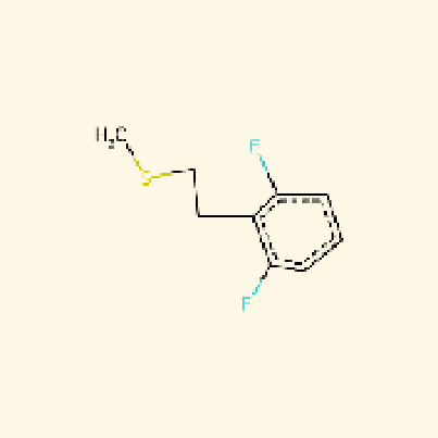 CSCCc1c(F)cccc1F